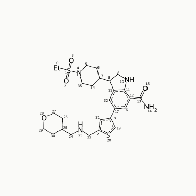 CCS(=O)(=O)N1CCC(C2CNc3c(C(N)=O)cc(-c4csc(CNCC5CCOCC5)c4)cc32)CC1